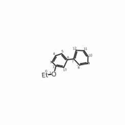 CCOc1cccc(-c2[c]cccc2)c1